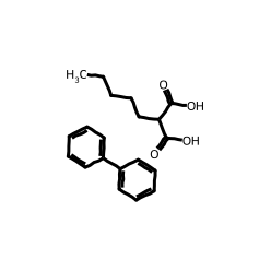 CCCCCC(C(=O)O)C(=O)O.c1ccc(-c2ccccc2)cc1